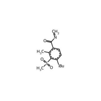 C=NC(=O)c1ccc(C(C)CC)c(S(C)(=O)=O)c1C